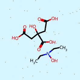 CCN(O)CC.O=C(O)CC(O)(CC(=O)O)C(=O)O